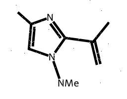 C=C(C)c1nc(C)cn1NC